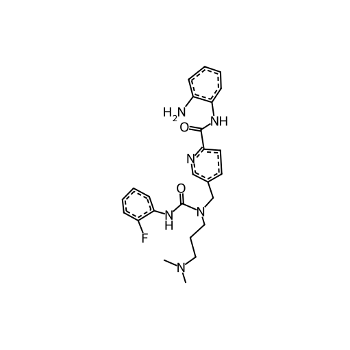 CN(C)CCCN(Cc1ccc(C(=O)Nc2ccccc2N)nc1)C(=O)Nc1ccccc1F